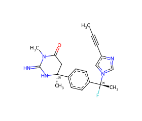 CC#Cc1cn([C@](C)(F)c2ccc([C@]3(C)CC(=O)N(C)C(=N)N3)cc2)cn1